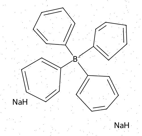 [NaH].[NaH].c1ccc([B-](c2ccccc2)(c2ccccc2)c2ccccc2)cc1